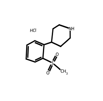 CS(=O)(=O)c1ccccc1C1CCNCC1.Cl